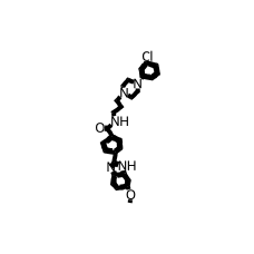 COc1ccc2nc(-c3ccc(C(=O)NCCCN4CCN(c5cccc(Cl)c5)CC4)cc3)[nH]c2c1